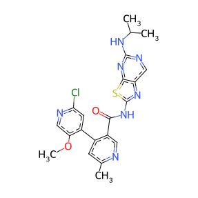 COc1cnc(Cl)cc1-c1cc(C)ncc1C(=O)Nc1nc2cnc(NC(C)C)nc2s1